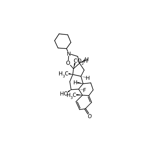 C[C@]12C=CC(=O)C=C1CC[C@H]1[C@@H]3C[C@H]4CN(C5CCCCC5)O[C@@]4(C(=O)O)[C@@]3(C)C[C@H](O)[C@@]12F